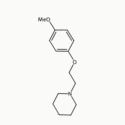 COc1ccc(OCCN2CC[CH]CC2)cc1